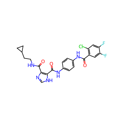 O=C(Nc1ccc(NC(=O)c2[nH]cnc2C(=O)NCCC2CC2)cc1)c1cc(F)c(F)cc1Cl